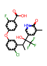 Cc1cc(C(O)(C(C)c2cc(Oc3ccc(C(=O)O)c(F)c3)ccc2Cl)C(F)(F)F)c[nH]c1=O